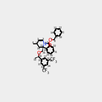 CC1C=CN(C(=O)OCc2ccccc2)[C@](CO[C@H](C)c2cc(C(F)(F)F)cc(C(F)(F)F)c2)(c2ccccc2)C1